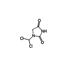 O=C1CN(C(Cl)Cl)C(=O)N1